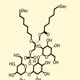 CCCCCCCCCCCCCCCCO[C@H](COC(=O)CCCCCCCCCCCCCCC)COP(=O)(O)O[C@@H]1C(O[C@H]2OC(CO)[C@@H](O)[C@H](O)C2O)C(O)[C@@H](O)[C@H](O)C1O[C@H]1OC(CO)[C@@H](O)C(O)[C@H]1O